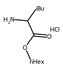 CCCCCCOC(=O)C(N)C(C)CC.Cl